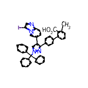 Cc1cccc(-c2ccc(-c3nn(C(c4ccccc4)(c4ccccc4)c4ccccc4)cc3-c3ccc4ncc(I)n4c3)cc2)c1C(=O)O